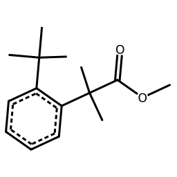 COC(=O)C(C)(C)c1ccccc1C(C)(C)C